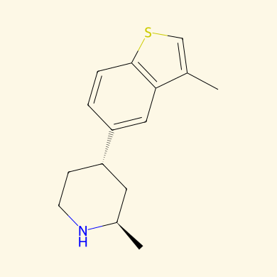 Cc1csc2ccc([C@H]3CCN[C@H](C)C3)cc12